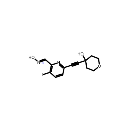 O/N=C/c1nc(C#CC2(O)CCOCC2)ccc1I